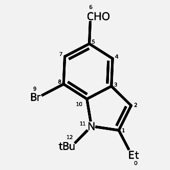 CCc1cc2cc(C=O)cc(Br)c2n1C(C)(C)C